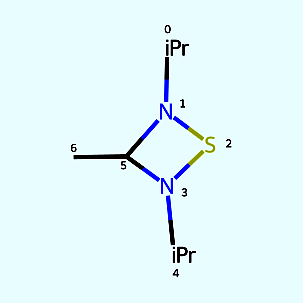 CC(C)N1SN(C(C)C)C1C